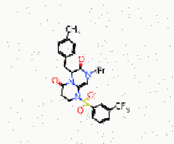 Cc1ccc(CC2C(=O)N(C(C)C)C=C3N2C(=O)CCN3S(=O)(=O)c2cccc(C(F)(F)F)c2)cc1